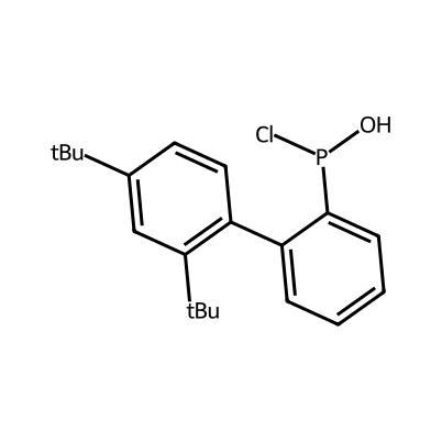 CC(C)(C)c1ccc(-c2ccccc2P(O)Cl)c(C(C)(C)C)c1